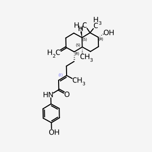 C=C1CC[C@@H]2C(C)(C)[C@H](O)CC[C@@]2(C)[C@@H]1CC/C(C)=C/C(=O)Nc1ccc(O)cc1